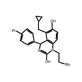 CC(C)c1ccc(C2N=C(O)N(CCC(C)(C)C)c3ccc(O)c(CC4CC4)c32)cc1